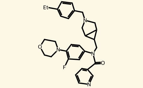 CCc1ccc(CN2CC3C(C2)C3CN(C(=O)c2cccnc2)c2ccc(N3CCOCC3)c(F)c2)cc1